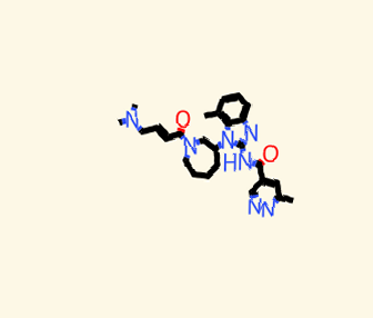 Cc1cc(C(=O)Nc2nc3cccc(C)c3n2C2CCCCN(C(=O)C=CCN(C)C)C2)cnn1